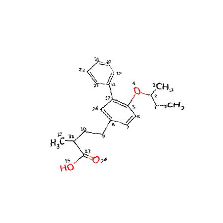 CCC(C)Oc1ccc(CCC(C)C(=O)O)cc1-c1ccccc1